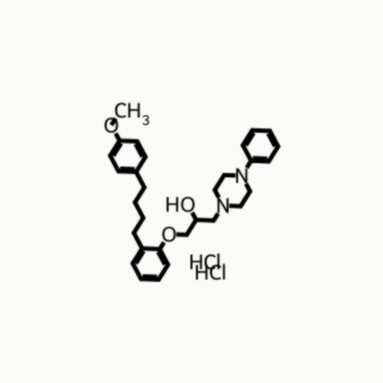 COc1ccc(CCCCc2ccccc2OCC(O)CN2CCN(c3ccccc3)CC2)cc1.Cl.Cl